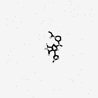 CCC(=O)N1CCCC(N(C)c2cc3c(c(-c4cnn(C)c4)n2)C(=O)NC3F)C1